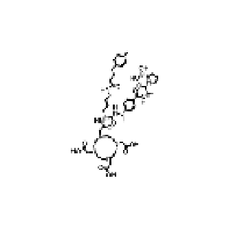 Cc1ccc(CCCC(=O)NCCCC[C@H](NC(=O)CN2CCN(CC(=O)O)CCN(CC(=O)O)CCN(CC(=O)O)CC2)C(=O)NNc2ccc(C(=O)N[C@H](C)C(=O)N3CCC[C@H]3B(O)O)cc2)cc1